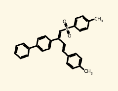 Cc1ccc(/C=C/C(=C\S(=O)(=O)c2ccc(C)cc2)c2ccc(-c3ccccc3)cc2)cc1